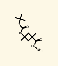 CC1(NC(=O)OC(C)(C)C)CC(C)(C(=O)NN)C1